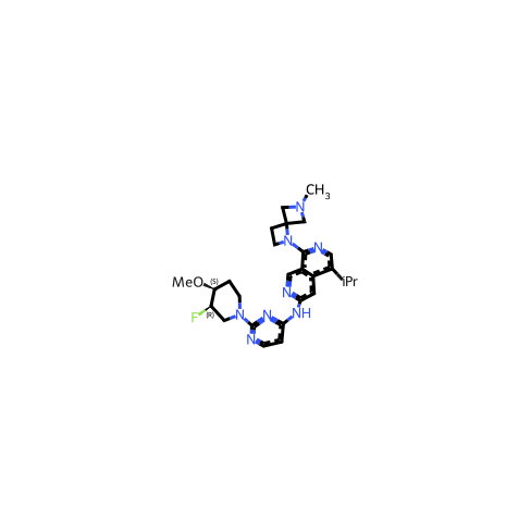 CO[C@H]1CCN(c2nccc(Nc3cc4c(C(C)C)cnc(N5CCC56CN(C)C6)c4cn3)n2)C[C@H]1F